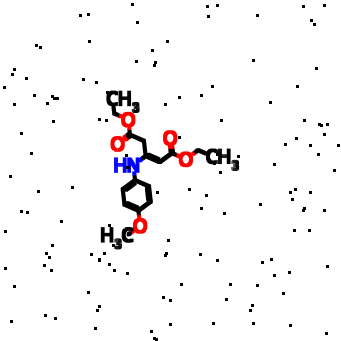 CCOC(=O)C=C(CC(=O)OCC)Nc1ccc(OC)cc1